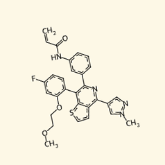 C=CC(=O)Nc1cccc(-c2nc(-c3cnn(C)c3)c3ccsc3c2-c2ccc(F)cc2OCCOC)c1